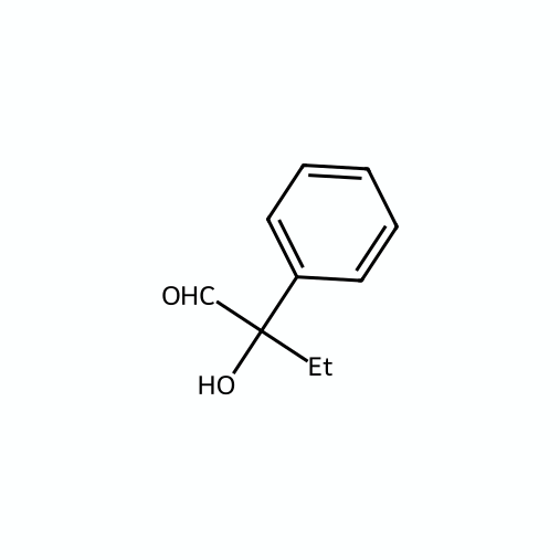 CCC(O)(C=O)c1ccccc1